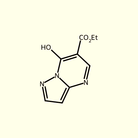 CCOC(=O)c1cnc2ccnn2c1O